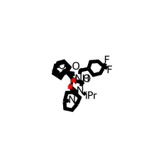 CC(C)N1C(=O)N(CC2CCCO2)CC12CC1CCC(C2)N1CC[C@H](NC(=O)C1CCC(F)(F)CC1)c1ccccc1